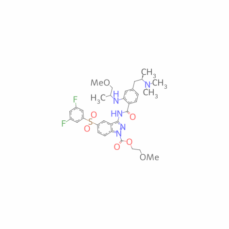 COCCOC(=O)n1nc(NC(=O)c2ccc(C[C@@H](C)N(C)C)cc2NC(C)COC)c2cc(S(=O)(=O)c3cc(F)cc(F)c3)ccc21